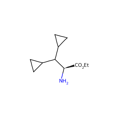 CCOC(=O)[C@@H](N)C(C1CC1)C1CC1